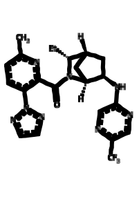 CC[C@@H]1[C@@H]2C[C@@H](Nc3cnc(C(F)(F)F)cn3)[C@H](C2)N1C(=O)c1nc(C)ccc1-n1nccn1